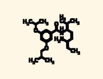 C/C=C(N)\C=C/C(NC(=O)c1cc(OCC(C)C)cc(OC(C)C)c1)=C(C)C